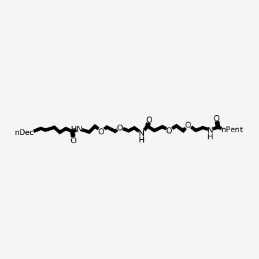 CCCCCCCCCCCCCCCC(=O)NCCOCCOCCNC(=O)CCOCCOCCNC(=O)CCCCC